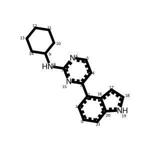 c1cc(-c2ccnc(NC3CCCCC3)n2)c2cc[nH]c2c1